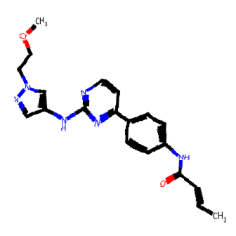 CC=CC(=O)Nc1ccc(-c2ccnc(Nc3cnn(CCOC)c3)n2)cc1